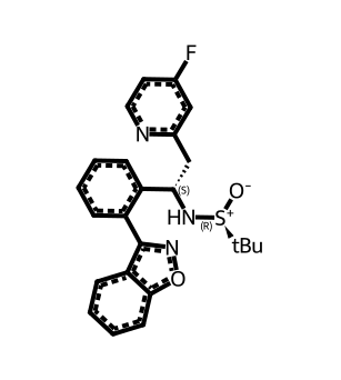 CC(C)(C)[S@+]([O-])N[C@@H](Cc1cc(F)ccn1)c1ccccc1-c1noc2ccccc12